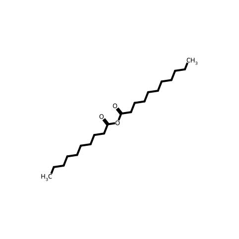 CCCCCCCCCCC(=O)OC(=O)CCCCCCCCC